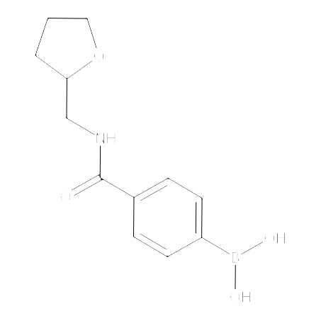 O=C(NCC1CCCO1)c1ccc(B(O)O)cc1